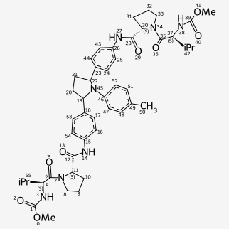 COC(=O)N[C@H](C(=O)N1CCC[C@H]1C(=O)Nc1ccc(C2CCC(c3ccc(NC(=O)[C@@H]4CCCN4C(=O)[C@@H](NC(=O)OC)C(C)C)cc3)N2c2ccc(C)cc2)cc1)C(C)C